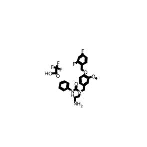 COc1cc(CN(CCN)C(=O)Nc2ccccc2)ccc1OCc1ccc(F)cc1F.O=C(O)C(F)(F)F